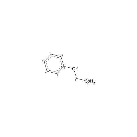 [SbH2][CH2]Oc1ccccc1